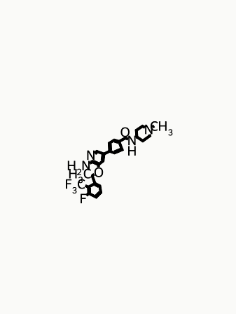 CC(Oc1cc(-c2ccc(C(=O)NC3CCN(C)CC3)cc2)cnc1N)c1cccc(F)c1C(F)(F)F